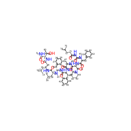 CNC(=O)[C@@H](NC(=O)C[C@H](CC(C)C)NC(=O)[C@H](CC(C)C)N(C)[C@H](Cc1ccccc1)NC(=O)[C@H](Cc1ccccc1)NC(=O)[C@@H](C)N(C)C(=O)[C@H](NC(=O)[C@H](Cc1ccccc1)N(C)C(=O)NC(=O)CCC(C)C)C(=O)N1CCCCC1)[C@@H](C)O